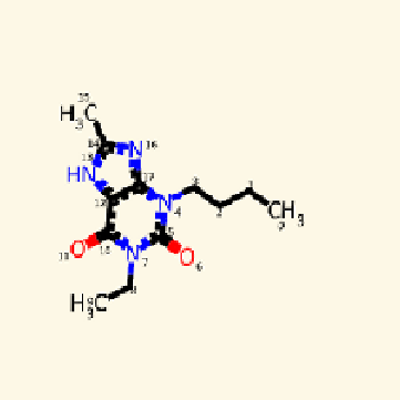 CCCCn1c(=O)n(CC)c(=O)c2[nH]c(C)nc21